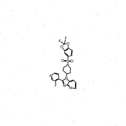 O=S(=O)(c1ccc2c(c1)OC(F)(F)O2)N1CCC(n2c(-c3ccncc3F)nc3ncccc32)CC1